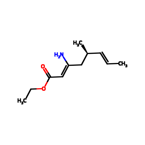 CC=C[C@H](C)CC(N)=CC(=O)OCC